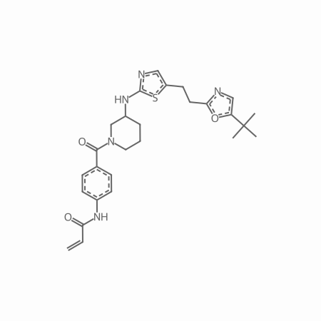 C=CC(=O)Nc1ccc(C(=O)N2CCCC(Nc3ncc(CCc4ncc(C(C)(C)C)o4)s3)C2)cc1